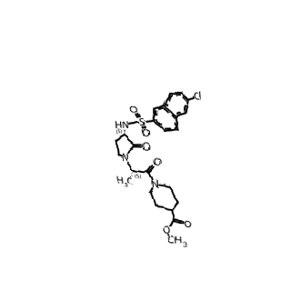 COC(=O)C1CCN(C(=O)[C@H](C)N2CC[C@H](NS(=O)(=O)c3ccc4cc(Cl)ccc4c3)C2=O)CC1